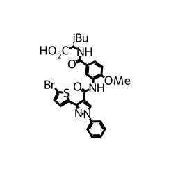 CCC(C)[C@H](NC(=O)c1ccc(OC)c(NC(=O)c2cn(-c3ccccc3)nc2-c2ccc(Br)s2)c1)C(=O)O